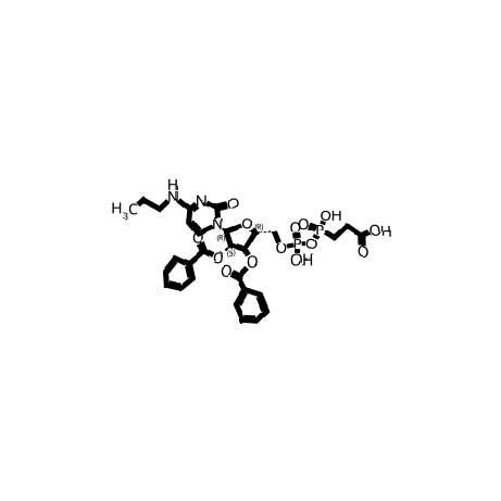 CCCNc1ccn([C@@H]2O[C@H](COP(=O)(O)OP(=O)(O)CCC(=O)O)C(OC(=O)c3ccccc3)[C@@H]2OC(=O)c2ccccc2)c(=O)n1